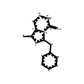 Cc1nc(Cc2ccccc2)n2c(=S)[nH]ncc12